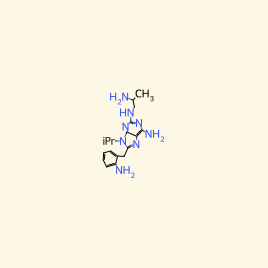 CC(N)CNc1nc(N)c2nc(Cc3ccccc3N)n(C(C)C)c2n1